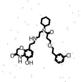 O=C1COc2c(CCNCCN(C(=O)CCOCCc3cccc(Cl)c3)C3CCCCC3)ccc(O)c2N1